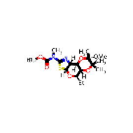 CC[C@H]1O[C@@H]2SC(N(C)C(=O)OC(C)(C)C)=N[C@@H]2[C@H]2O[C@](C)(OC)C(C)(C)O[C@@H]21